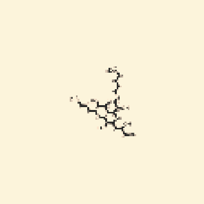 CCCCCCCCCCCCCCOCC(O)C(CC(O)CO)SC(CC(O)CO)C(O)COCCCCCCCCCCCCCC